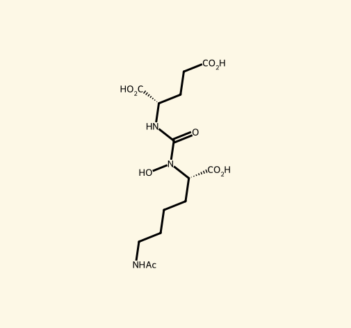 CC(=O)NCCCC[C@@H](C(=O)O)N(O)C(=O)N[C@@H](CCC(=O)O)C(=O)O